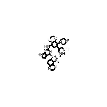 CN/C=C(\C=N)c1cc(Nc2nc(Nc3ccc4nccnc4c3P(C)C)c3cc[nH]c3n2)c2c(c1N1CCN(C)CC1)OCCO2